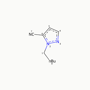 CCCCCn1nccc1C#N